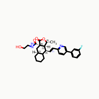 C[C@H]1OC(=O)[C@]2(C(=O)NCCO)C[C@@H]3CCCCC3[C@H](/C=C/c3ccc(-c4cccc(F)c4)cn3)[C@H]12